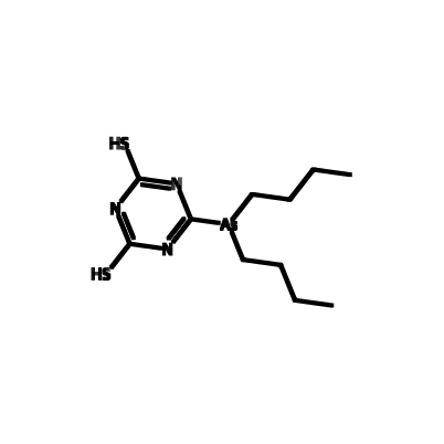 CCCC[As](CCCC)c1nc(S)nc(S)n1